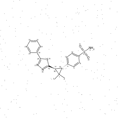 CC1(C)[C@@H](c2ccc(S(N)(=O)=O)cc2)[C@@H]1c1nnc(-c2ccccc2)s1